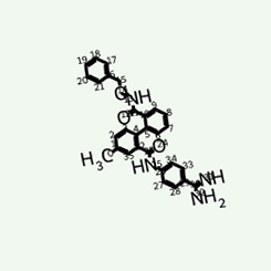 Cc1ccc(-c2ccccc2C(=O)NOCc2ccccc2)c(C(=O)Nc2ccc(C(=N)N)cc2)c1